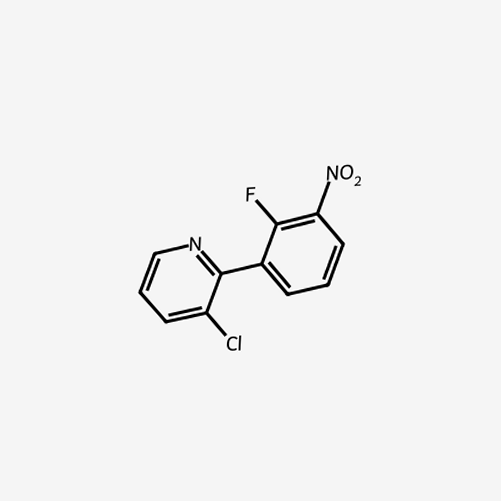 O=[N+]([O-])c1cccc(-c2ncccc2Cl)c1F